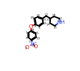 O=[N+]([O-])c1ccc(Oc2ccc(CC3CCNCC3)cc2)cc1